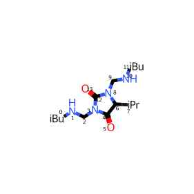 CCC(C)NCN1C(=O)C(C(C)C)N(CNC(C)CC)C1=O